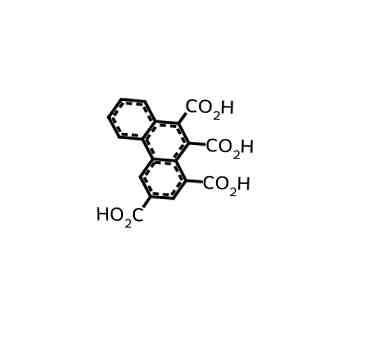 O=C(O)c1cc(C(=O)O)c2c(C(=O)O)c(C(=O)O)c3ccccc3c2c1